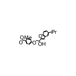 COC(=O)c1ccc(OCC(O)c2cc3cc(C(C)C)ccc3o2)cc1